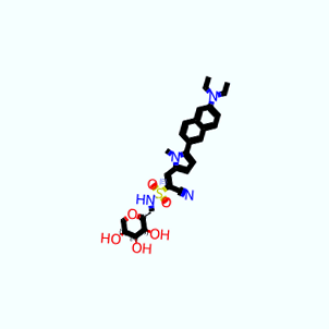 CCN(CC)c1ccc2cc(-c3ccc(/C=C(\C#N)S(=O)(=O)NC[C@H]4OC[C@H](O)[C@@H](O)[C@@H]4O)n3C)ccc2c1